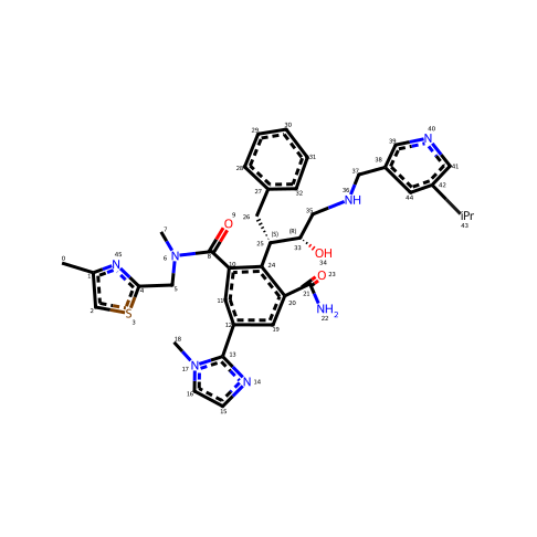 Cc1csc(CN(C)C(=O)c2cc(-c3nccn3C)cc(C(N)=O)c2[C@H](Cc2ccccc2)[C@@H](O)CNCc2cncc(C(C)C)c2)n1